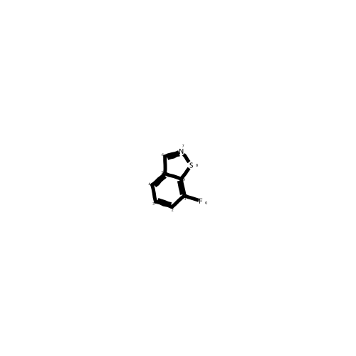 Fc1cccc2cnsc12